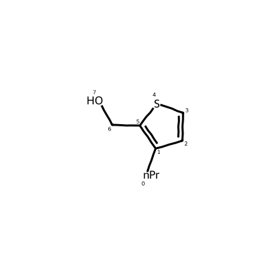 CCCc1ccsc1CO